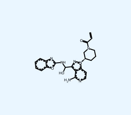 C=CC(=O)N1CCC[C@@H](n2nc(C(O)Nc3nc4ccccc4o3)c3c(N)nccc32)C1